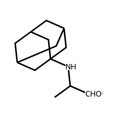 CC([C]=O)NC12CC3CC(CC(C3)C1)C2